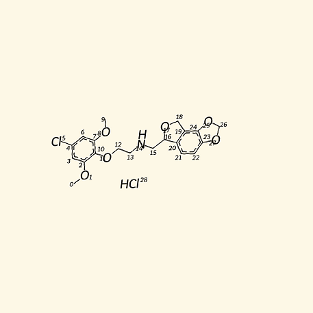 COc1cc(Cl)cc(OC)c1OCCNCC1OCc2c1ccc1c2OCO1.Cl